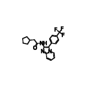 O=C(CC1CCCC1)Nc1nc2ccccn2c1-c1ccc(C(F)(F)F)cc1